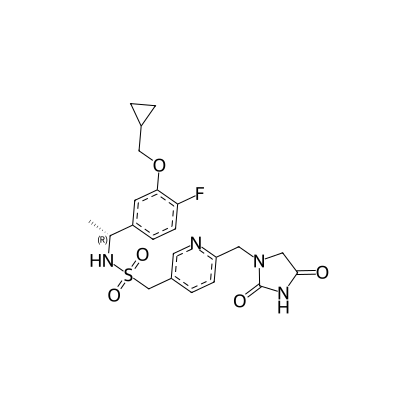 C[C@@H](NS(=O)(=O)Cc1ccc(CN2CC(=O)NC2=O)nc1)c1ccc(F)c(OCC2CC2)c1